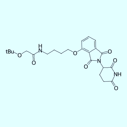 CC(C)(C)OCC(=O)NCCCCOc1cccc2c1C(=O)N(C1CCC(=O)NC1=O)C2=O